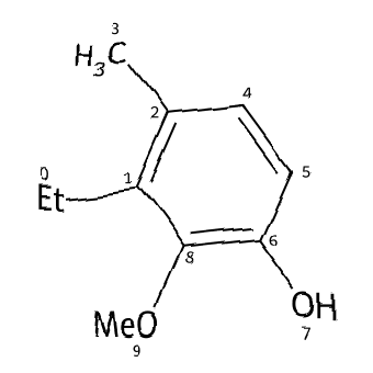 CCc1c(C)ccc(O)c1OC